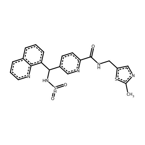 Cc1ncc(CNC(=O)c2ccc(C(N[SH](=O)=O)c3cccc4cccnc34)cn2)s1